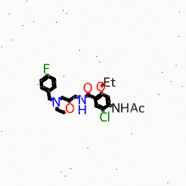 CCOc1cc(NC(C)=O)c(Cl)cc1C(=O)NCC1CN(Cc2ccc(F)cc2)CCO1